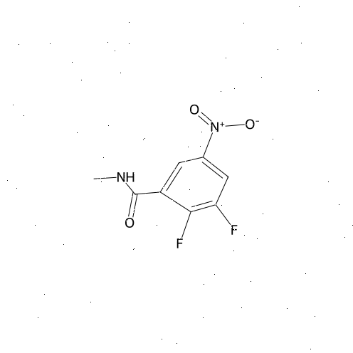 CNC(=O)c1cc([N+](=O)[O-])cc(F)c1F